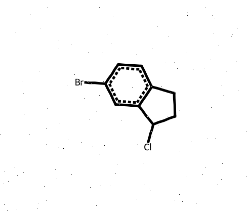 ClC1CCc2ccc(Br)cc21